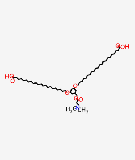 CN(C)CCC(=O)OCc1cc(OCCCCCCCCCC=CCC=CCCCCCCCC(=O)O)cc(OCCCCCCCCCC=CCC=CCCCCCCCC(=O)O)c1